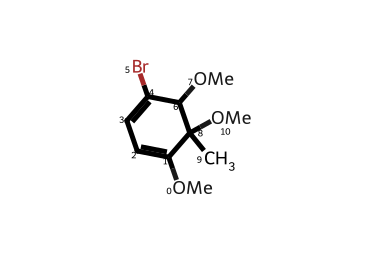 COC1=CC=C(Br)C(OC)C1(C)OC